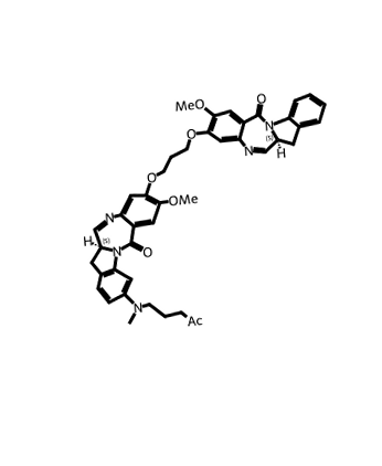 COc1cc2c(cc1OCCCOc1cc3c(cc1OC)C(=O)N1c4cc(N(C)CCCC(C)=O)ccc4C[C@H]1C=N3)N=C[C@@H]1Cc3ccccc3N1C2=O